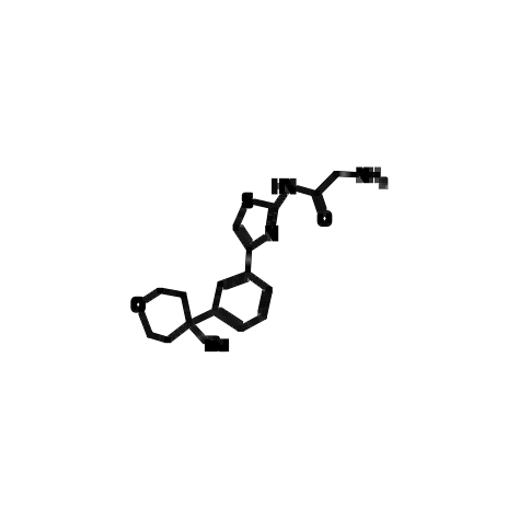 CCC(C)C1(c2cccc(-c3csc(NC(=O)CN)n3)c2)CCOCC1